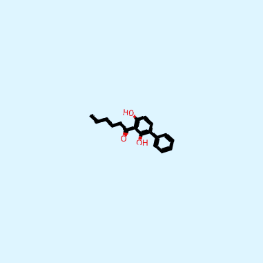 CCCCCC(=O)c1c(O)ccc(-c2ccccc2)c1O